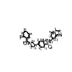 O=C(NCc1ccn2ccnc2c1)c1ccc(C2CCN(C(=O)c3ccccc3F)C2)cc1